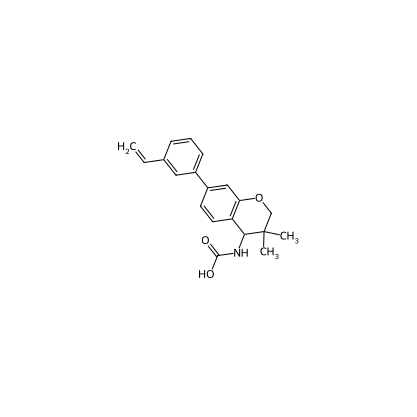 C=Cc1cccc(-c2ccc3c(c2)OCC(C)(C)C3NC(=O)O)c1